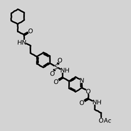 CC(=O)OCCNC(=O)Oc1ccc(C(=O)NS(=O)(=O)c2ccc(CCNC(=O)CC3CCCCC3)cc2)cn1